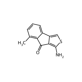 Cc1cccc2c1C(=O)c1c-2csc1N